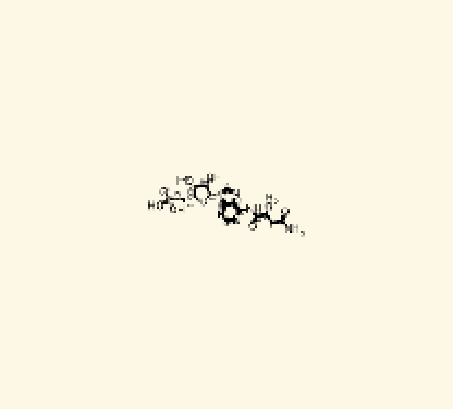 NC(=O)C[C@H](N)C(=O)Nc1ncnc2c1ncn2[C@@H]1O[C@H](COP(=O)(O)O)[C@@H](O)[C@H]1O